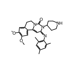 COc1cc2c(cc1OC)-c1c/c(=N\c3c(C)cc(C)cc3C)n(C3CCNCC3)c(=O)n1CC2